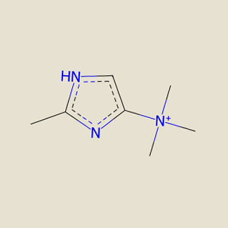 Cc1nc([N+](C)(C)C)c[nH]1